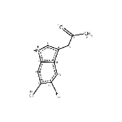 CC(=O)Cc1c[nH]c2cc(Cl)c(F)cc12